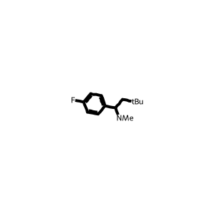 CNC(CC(C)(C)C)c1ccc(F)cc1